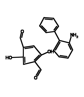 Nc1ccccc1-c1ccccc1.O=Cc1cc(O)c(C=O)cc1O